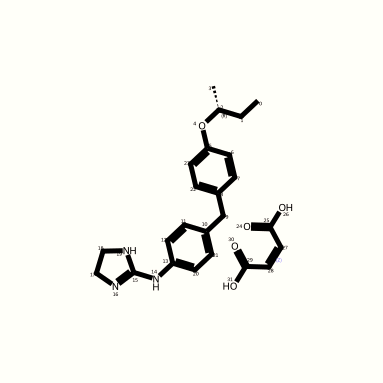 CC[C@@H](C)Oc1ccc(Cc2ccc(NC3=NCCN3)cc2)cc1.O=C(O)/C=C\C(=O)O